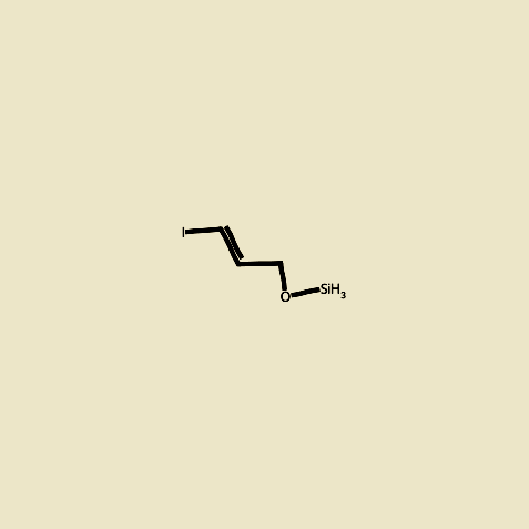 [SiH3]OCC=CI